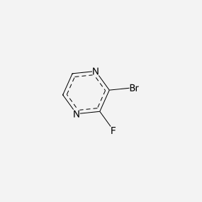 Fc1nccnc1Br